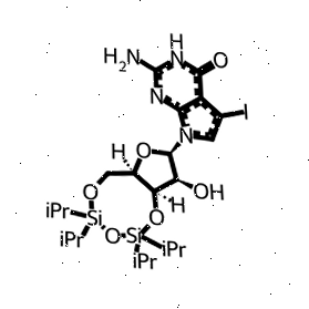 CC(C)[Si]1(C(C)C)OC[C@H]2O[C@@H](n3cc(I)c4c(=O)[nH]c(N)nc43)[C@@H](O)[C@H]2O[Si](C(C)C)(C(C)C)O1